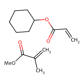 C=C(C)C(=O)OC.C=CC(=O)OC1CCCCC1